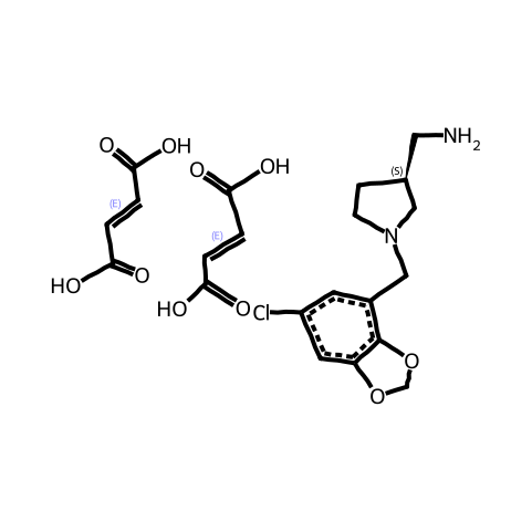 NC[C@@H]1CCN(Cc2cc(Cl)cc3c2OCO3)C1.O=C(O)/C=C/C(=O)O.O=C(O)/C=C/C(=O)O